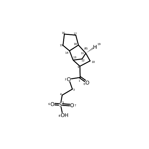 O=C(OCCS(=O)(=O)O)C1C[C@H]2CC1C1CCCC12